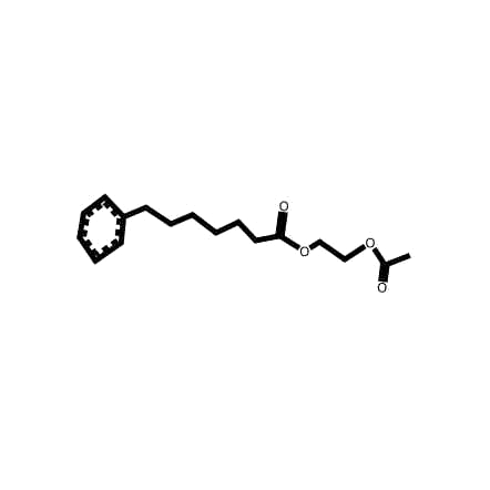 CC(=O)OCCOC(=O)CCCCCCc1ccccc1